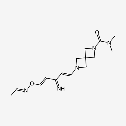 C/C=N/O/C=C/C(=N)/C=C/N1CC2(C1)CN(C(=O)N(C)C)C2